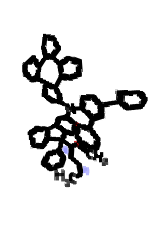 C=C/C(=C\C=C/C)C1(c2ccccc2)c2ccccc2-c2cc(N(c3ccc4c(c3)-c3ccccc3-c3ccccc3-c3ccccc3-4)c3ccc(-c4ccccc4)cc3-c3ccccc3)ccc21